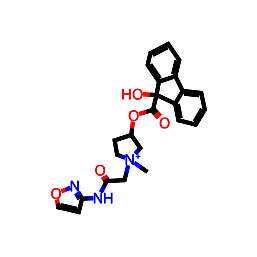 C[N+]1(CC(=O)Nc2ccon2)CCC(OC(=O)C2(O)c3ccccc3-c3ccccc32)C1